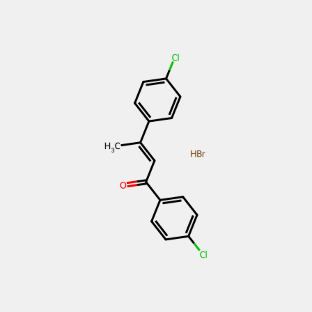 Br.C/C(=C\C(=O)c1ccc(Cl)cc1)c1ccc(Cl)cc1